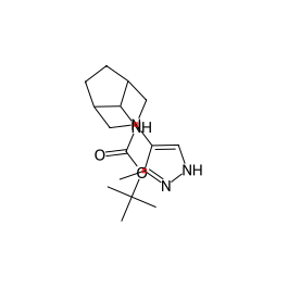 Cc1n[nH]cc1N1CC2CCC(C1)C2NC(=O)OC(C)(C)C